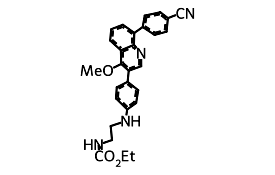 CCOC(=O)NCCNc1ccc(-c2cnc3c(-c4ccc(C#N)cc4)cccc3c2OC)cc1